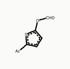 CC(=O)c1ccc(OC=O)s1